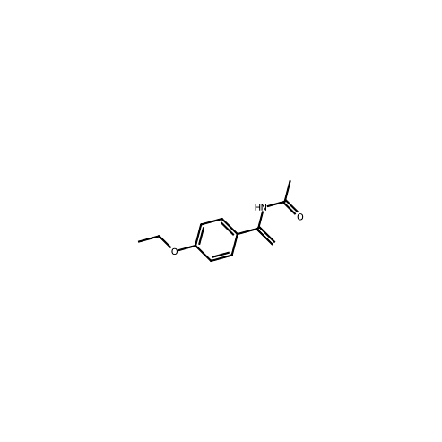 C=C(NC(C)=O)c1ccc(OCC)cc1